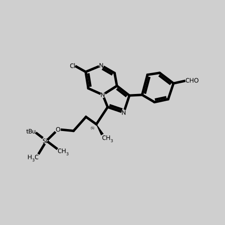 C[C@@H](CCO[Si](C)(C)C(C)(C)C)c1nc(-c2ccc(C=O)cc2)c2cnc(Cl)cn12